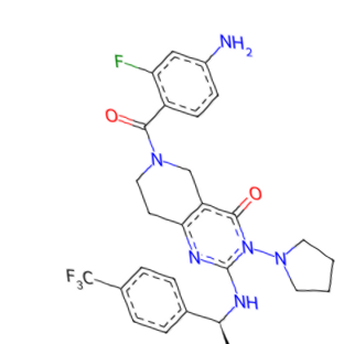 C[C@H](Nc1nc2c(c(=O)n1N1CCCC1)CN(C(=O)c1ccc(N)cc1F)CC2)c1ccc(C(F)(F)F)cc1